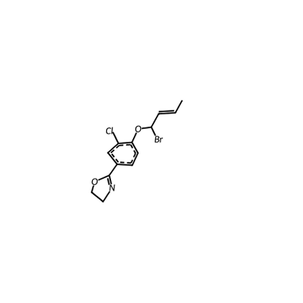 CC=CC(Br)Oc1ccc(C2=NCCO2)cc1Cl